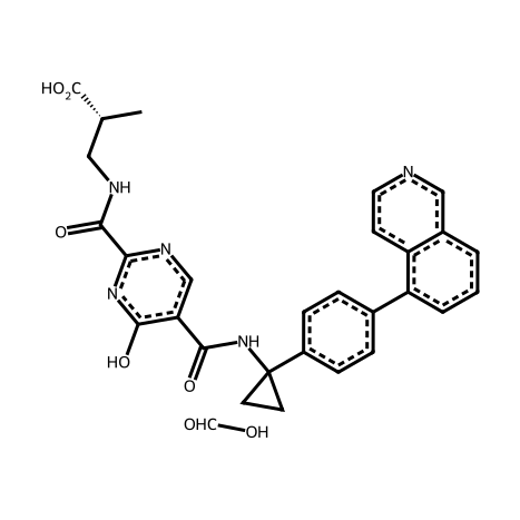 C[C@H](CNC(=O)c1ncc(C(=O)NC2(c3ccc(-c4cccc5cnccc45)cc3)CC2)c(O)n1)C(=O)O.O=CO